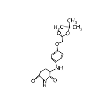 CC(C)(C)OC(=O)COc1ccc(NC2CCC(=O)NC2=O)cc1